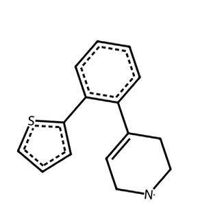 C1=C(c2ccccc2-c2cccs2)CC[N]C1